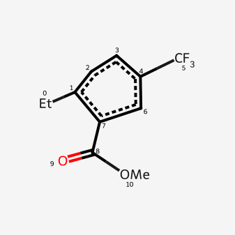 CCc1ccc(C(F)(F)F)cc1C(=O)OC